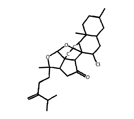 C=C(CCC1(C)OC2OC34C(Cl)CC5CC(C)CCC5(C)C3CCC23C1CC(=O)C34)C(C)C